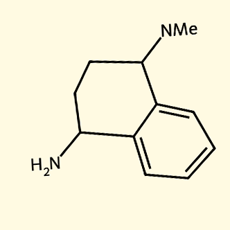 CNC1CCC(N)c2ccccc21